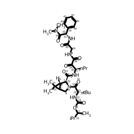 CCC[C@@H](NC(=O)[C@@H]1[C@@H]2C(CN1C(=O)[C@@H](NC(=O)OC(C)C(C)C)C(C)(C)C)C2(C)C)C(=O)C(=O)NCC(=O)N[C@H](C(=O)N(C)C)c1ccccc1